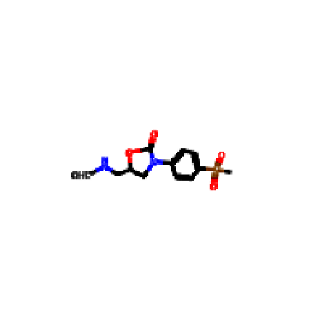 CS(=O)(=O)c1ccc(N2CC(CNC=O)OC2=O)cc1